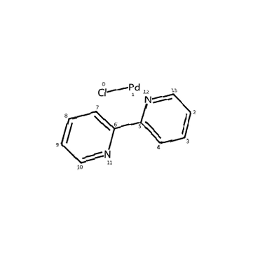 [Cl][Pd].c1ccc(-c2ccccn2)nc1